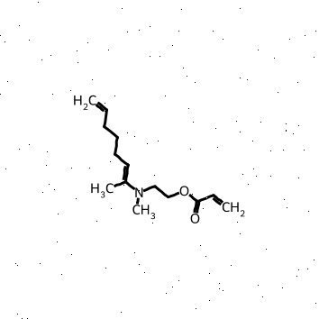 C=CCCC/C=C(\C)N(C)CCOC(=O)C=C